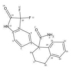 NC(=O)C1(c2ccc3c(c2)C(F)(F)C(=O)N3)CCCc2ccccc21